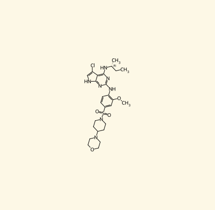 CC[C@@H](C)Nc1nc(Nc2ccc(S(=O)(=O)N3CCC(N4CCOCC4)CC3)cc2OC)nc2[nH]cc(Cl)c12